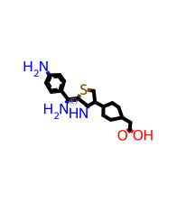 N=C1/C(=C(\N)c2ccc(N)cc2)SCC1C1CCC(CC(=O)O)CC1